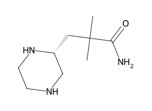 CC(C)(C[C@@H]1CNCCN1)C(N)=O